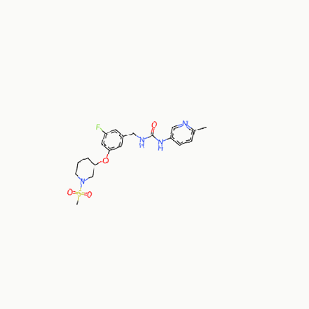 Cc1ccc(NC(=O)NCc2cc(F)cc(OC3CCCN(S(C)(=O)=O)C3)c2)cn1